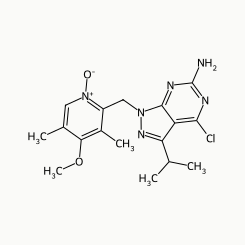 COc1c(C)c[n+]([O-])c(Cn2nc(C(C)C)c3c(Cl)nc(N)nc32)c1C